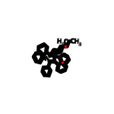 CCCC=CC1(c2ccccc2)N(c2ccccc2)C(c2ccccc2)=C(c2ccccc2)C1(C=CCCCC)c1ccccc1